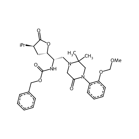 COCOc1ccccc1N1CC(C)(C)N(C[C@H](NC(=O)OCc2ccccc2)[C@@H]2C[C@@H](C(C)C)C(=O)O2)CC1=O